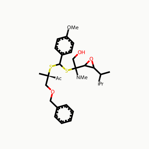 CNC(CO)(SC(S[C@@](C)(COCc1ccccc1)C(C)=O)c1ccc(OC)cc1)C1OC1C(C)C(C)C